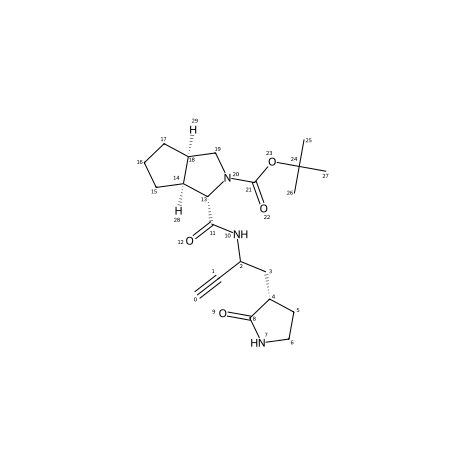 C#CC(C[C@@H]1CCNC1=O)NC(=O)[C@@H]1[C@H]2CCC[C@H]2CN1C(=O)OC(C)(C)C